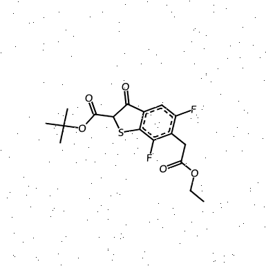 CCOC(=O)Cc1c(F)cc2c(c1F)SC(C(=O)OC(C)(C)C)C2=O